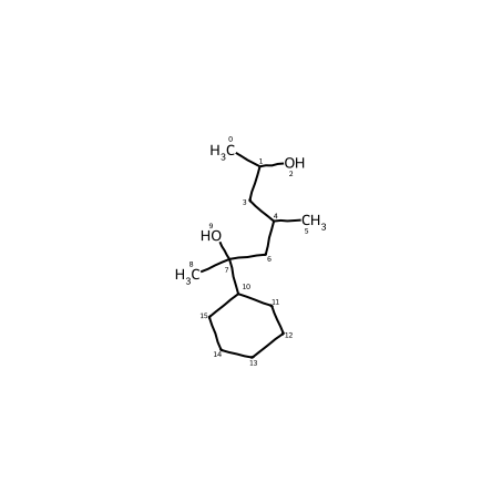 CC(O)CC(C)CC(C)(O)C1CCCCC1